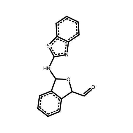 O=CC1OC(Nc2nc3ccccc3s2)c2ccccc21